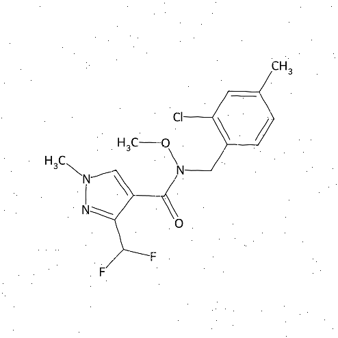 CON(Cc1ccc(C)cc1Cl)C(=O)c1cn(C)nc1C(F)F